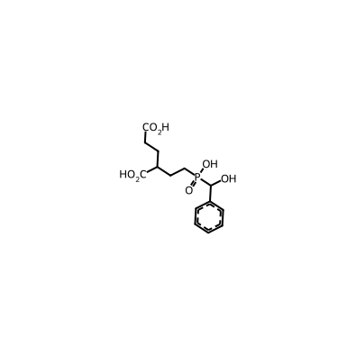 O=C(O)CCC(CCP(=O)(O)C(O)c1ccccc1)C(=O)O